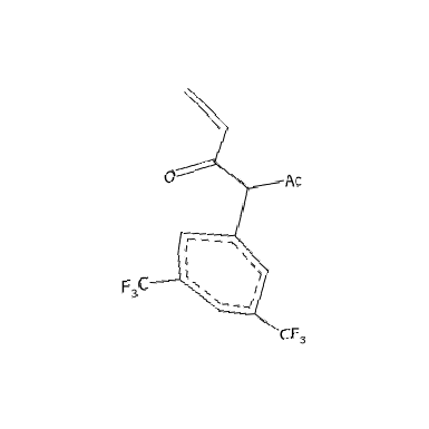 C=CC(=O)C(C(C)=O)c1cc(C(F)(F)F)cc(C(F)(F)F)c1